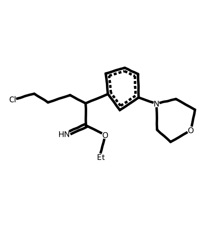 CCOC(=N)C(CCCCl)c1cccc(N2CCOCC2)c1